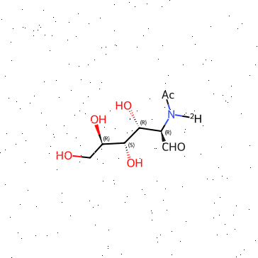 [2H]N(C(C)=O)[C@@H](C=O)[C@@H](O)[C@H](O)[C@H](O)CO